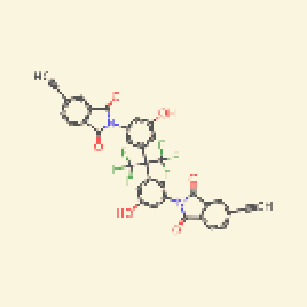 C#Cc1ccc2c(c1)C(=O)N(c1cc(O)cc(C(c3cc(O)cc(N4C(=O)c5ccc(C#C)cc5C4=O)c3)(C(F)(F)F)C(F)(F)F)c1)C2=O